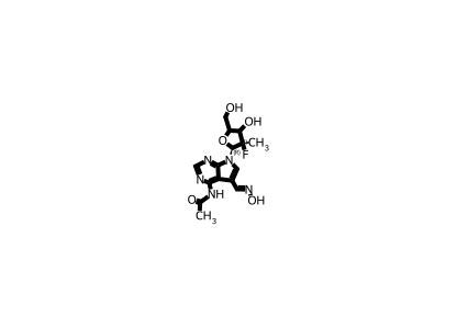 CC(=O)Nc1ncnc2c1c(C=NO)cn2[C@@H]1OC(CO)C(O)[C@@]1(C)F